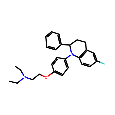 CCN(CC)CCOc1ccc(N2c3ccc(F)cc3CCC2c2ccccc2)cc1